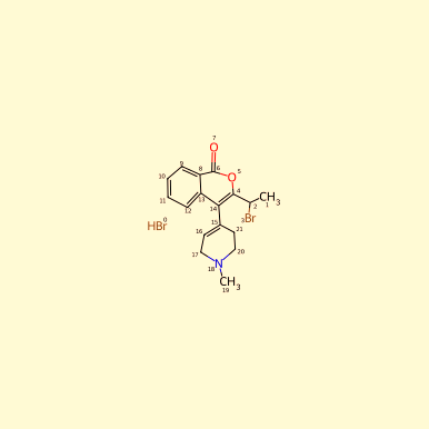 Br.CC(Br)c1oc(=O)c2ccccc2c1C1=CCN(C)CC1